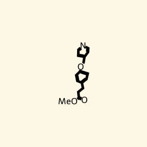 COC(=O)CCc1ccc(OCc2ccncc2)cc1